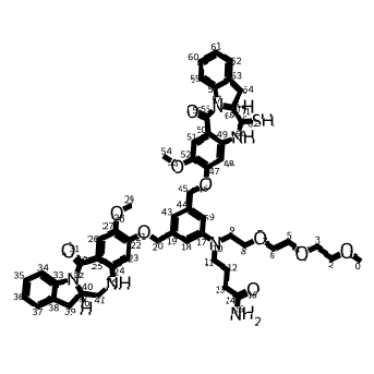 COCCOCCOCCN(CCCC(N)=O)c1cc(COc2cc3c(cc2OC)C(=O)N2c4ccccc4C[C@H]2CN3)cc(COc2cc3c(cc2OC)C(=O)N2c4ccccc4C[C@H]2C(S)N3)c1